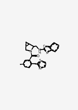 Cc1ccc(-c2nccs2)c(C(=O)N2CC3CC3C2CNc2nc3ccccc3o2)c1